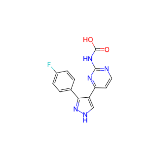 O=C(O)Nc1nccc(-c2c[nH]nc2-c2ccc(F)cc2)n1